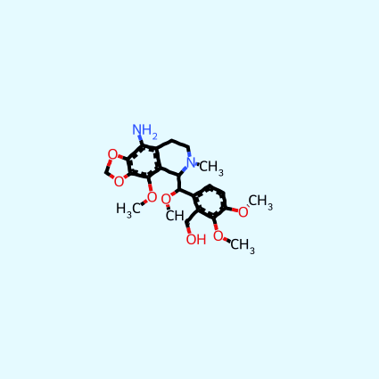 COc1ccc(C(OC)C2c3c(c(N)c4c(c3OC)OCO4)CCN2C)c(CO)c1OC